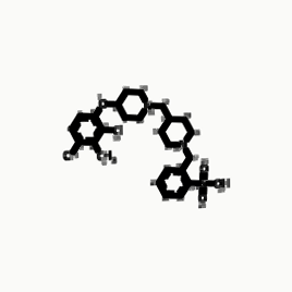 Cc1c(Cl)ccc(OC2CCN(CC3CCN(Cc4ccccc4S(=O)(=O)O)CC3)CC2)c1Cl